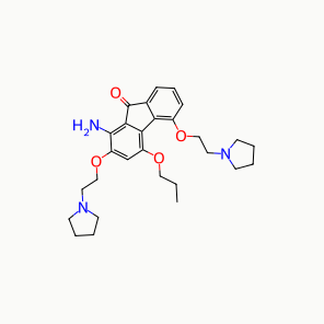 CCCOc1cc(OCCN2CCCC2)c(N)c2c1-c1c(OCCN3CCCC3)cccc1C2=O